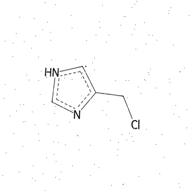 ClCc1[c][nH]cn1